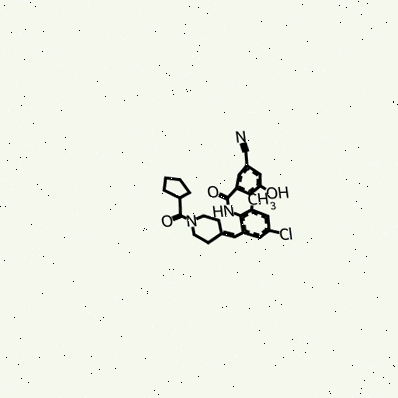 Cc1cc(Cl)cc(C=C2CCN(C(=O)C3CCCC3)CC2)c1NC(=O)c1cc(O)cc(C#N)c1